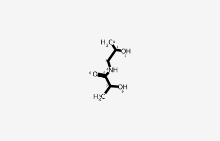 CC(O)CNC(=O)C(C)O